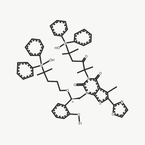 CCOc1ccccc1[C@H](Cn1c(=O)n(C(C)(C)C(=O)CC(C)(C)[Si](O)(c2ccccc2)c2ccccc2)c(=O)c2c(C)c(-c3ncco3)sc21)OCCCC(C)(C)[Si](O)(c1ccccc1)c1ccccc1